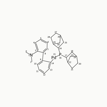 CN(C)c1ccccc1-c1cccc[c]1[Pd][P](C1CC2CCC1C2)C1CC2CCC1C2